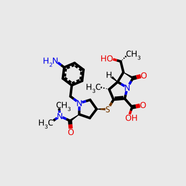 C[C@@H](O)[C@H]1C(=O)N2C(C(=O)O)=C(S[C@H]3C[C@@H](C(=O)N(C)C)N(Cc4cccc(N)c4)C3)[C@H](C)[C@H]12